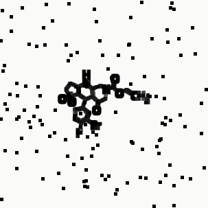 C=COC(=O)N1CC(=O)C2=C(C1)NC1=C(C2c2ccc(F)c(Br)c2)S(=O)(=O)CC1